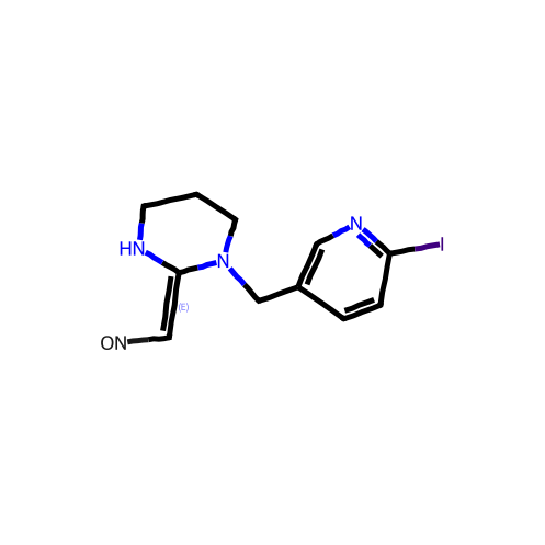 O=N/C=C1\NCCCN1Cc1ccc(I)nc1